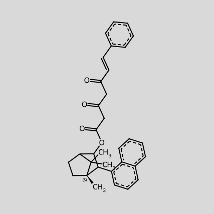 CC1(C)C2CC[C@@]1(C)C(c1cccc3ccccc13)C2OC(=O)CC(=O)CC(=O)C=Cc1ccccc1